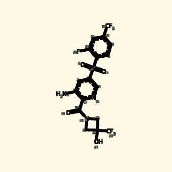 Nc1cc(S(=O)(=O)c2ccc(C(F)(F)F)cc2F)cnc1C(=O)N1CC(O)(C(F)(F)F)C1